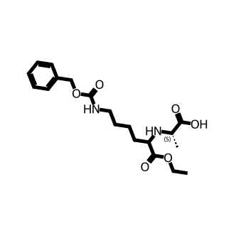 CCOC(=O)C(CCCCNC(=O)OCc1ccccc1)N[C@@H](C)C(=O)O